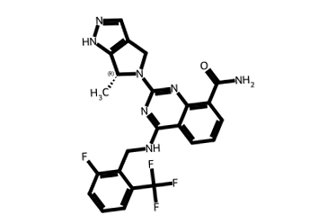 C[C@@H]1c2[nH]ncc2CN1c1nc(NCc2c(F)cccc2C(F)(F)F)c2cccc(C(N)=O)c2n1